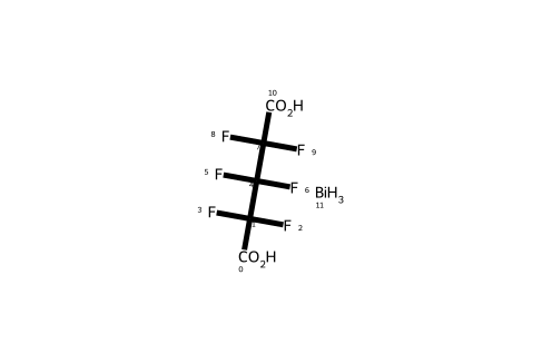 O=C(O)C(F)(F)C(F)(F)C(F)(F)C(=O)O.[BiH3]